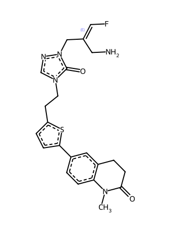 CN1C(=O)CCc2cc(-c3ccc(CCn4cnn(C/C(=C/F)CN)c4=O)s3)ccc21